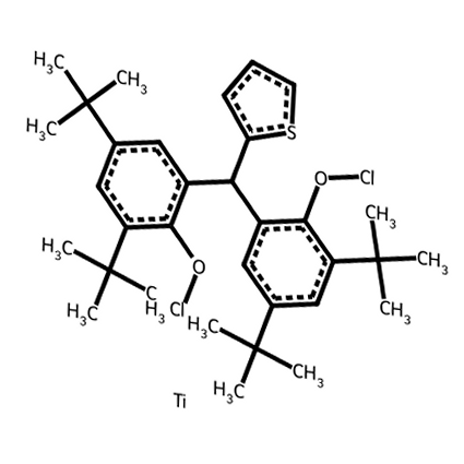 CC(C)(C)c1cc(C(c2cccs2)c2cc(C(C)(C)C)cc(C(C)(C)C)c2OCl)c(OCl)c(C(C)(C)C)c1.[Ti]